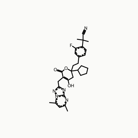 Cc1cc(C)n2nc(CC3=C(O)CC(CCc4ccc(C(C)(C)C#N)c(F)c4)(C4CCCC4)OC3=O)nc2n1